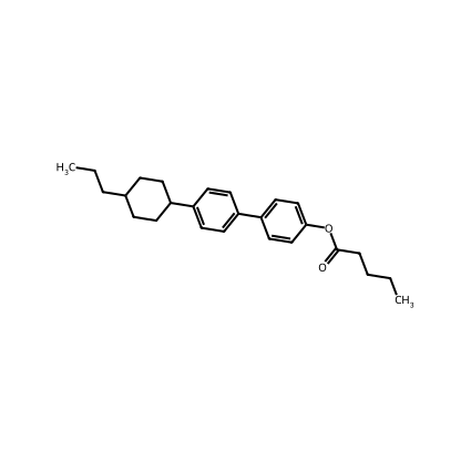 CCCCC(=O)Oc1ccc(-c2ccc(C3CCC(CCC)CC3)cc2)cc1